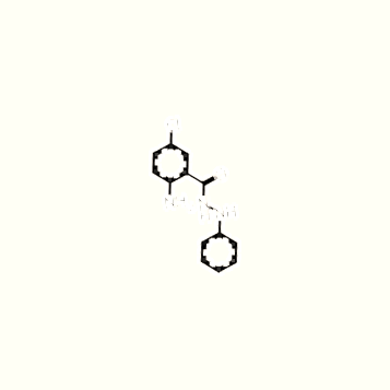 Nc1ccc(Cl)cc1C(=O)NNc1ccccc1